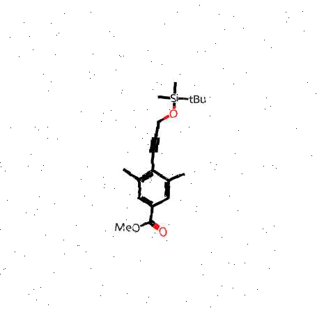 COC(=O)c1cc(C)c(C#CCO[Si](C)(C)C(C)(C)C)c(C)c1